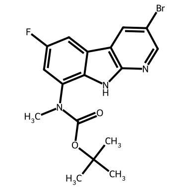 CN(C(=O)OC(C)(C)C)c1cc(F)cc2c1[nH]c1ncc(Br)cc12